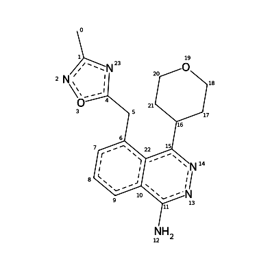 Cc1noc(Cc2cccc3c(N)nnc(C4CCOCC4)c23)n1